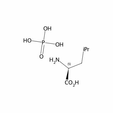 CC(C)C[C@H](N)C(=O)O.O=P(O)(O)O